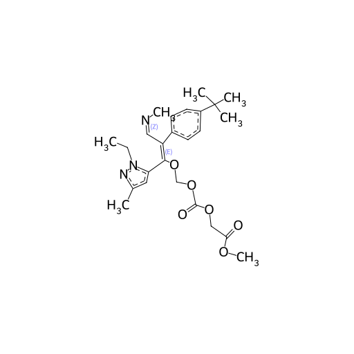 CCn1nc(C)cc1/C(OCOC(=O)OCC(=O)OC)=C(\C=N/C)c1ccc(C(C)(C)C)cc1